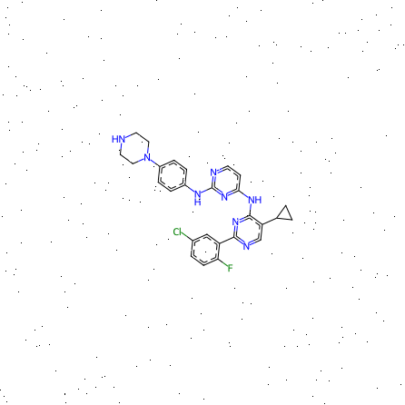 Fc1ccc(Cl)cc1-c1ncc(C2CC2)c(Nc2ccnc(Nc3ccc(N4CCNCC4)cc3)n2)n1